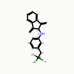 C=C1c2ccccc2C(=C)C1Nc1cccc(CC(F)(F)F)c1